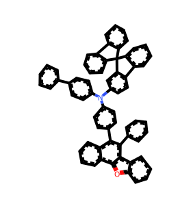 c1ccc(-c2ccc(N(c3ccc(-c4c(-c5ccccc5)c5c6ccccc6oc5c5ccccc45)cc3)c3ccc4c(c3)C3(c5ccccc5-c5ccccc53)c3ccccc3-4)cc2)cc1